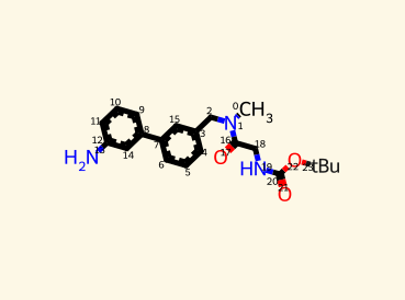 CN(Cc1cccc(-c2cccc(N)c2)c1)C(=O)CNC(=O)OC(C)(C)C